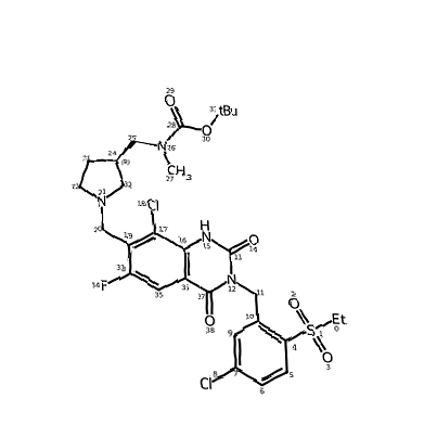 CCS(=O)(=O)c1ccc(Cl)cc1Cn1c(=O)[nH]c2c(Cl)c(CN3CC[C@@H](CN(C)C(=O)OC(C)(C)C)C3)c(F)cc2c1=O